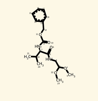 COC(CNC(=O)[C@H](NC(=O)OCc1ccccc1)C(C)C)OC